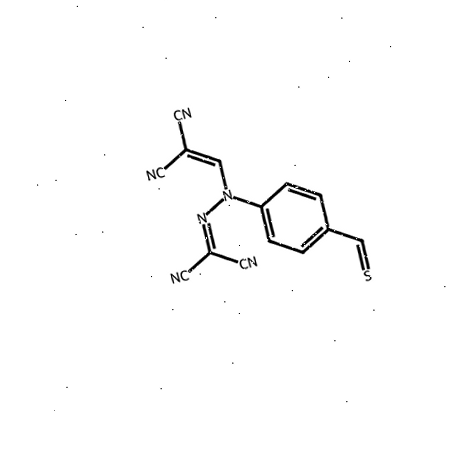 N#CC(C#N)=CN(N=C(C#N)C#N)c1ccc(C=S)cc1